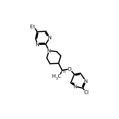 CCc1cnc(N2CCC([C@H](C)Oc3cnc(Cl)nc3)CC2)nc1